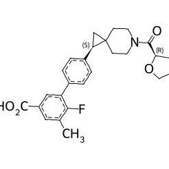 Cc1cc(C(=O)O)cc(-c2ccc([C@H]3CC34CCN(C(=O)[C@H]3CCCO3)CC4)cc2)c1F